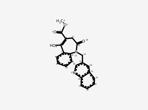 COC(=O)C1=C(O)c2ccccc2N(Cc2cnc3ccccc3c2)C(=O)C1